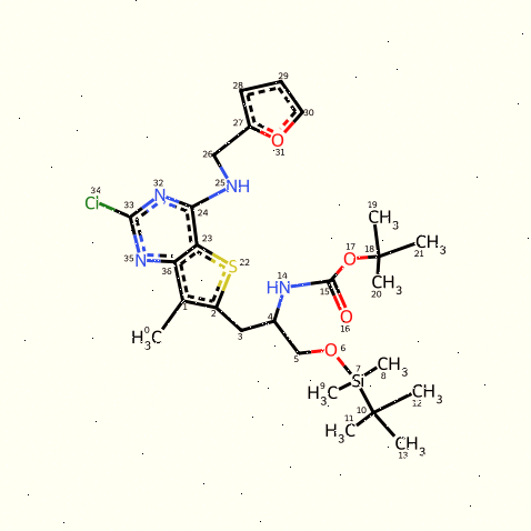 Cc1c(CC(CO[Si](C)(C)C(C)(C)C)NC(=O)OC(C)(C)C)sc2c(NCc3ccco3)nc(Cl)nc12